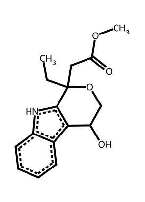 CCC1(CC(=O)OC)OCC(O)c2c1[nH]c1ccccc21